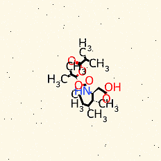 CCC[C@@H](C)[C@@H](C)[C@H](CC(=O)O)NC(=O)O[C@@H](OC(=O)C(C)C)C(C)C